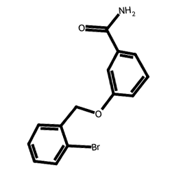 NC(=O)c1cccc(OCc2ccccc2Br)c1